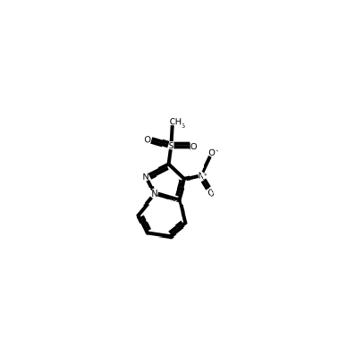 CS(=O)(=O)c1nn2ccccc2c1[N+](=O)[O-]